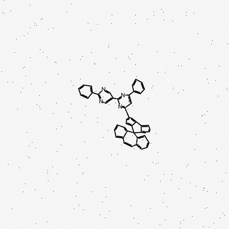 C1=Cc2ccccc2C2(c3ccccc31)c1ccccc1-c1cc(-c3cc(-c4ccccc4)nc(-c4cnc(-c5ccccc5)nc4)n3)ccc12